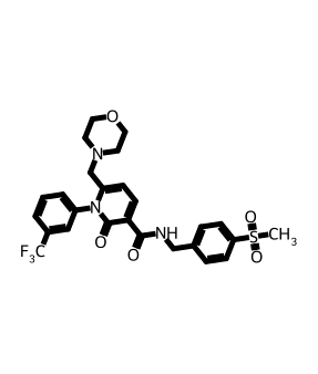 CS(=O)(=O)c1ccc(CNC(=O)c2ccc(CN3CCOCC3)n(-c3cccc(C(F)(F)F)c3)c2=O)cc1